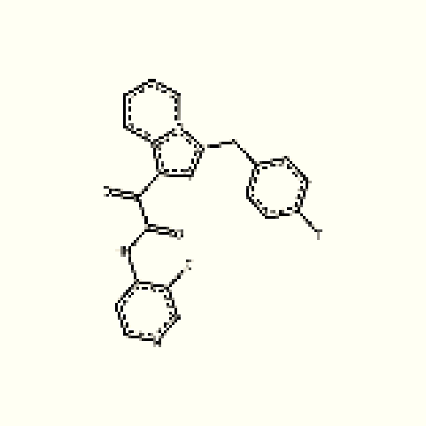 O=C(Nc1ccncc1Cl)C(=O)c1cc(Cc2ccc(F)cc2)n2ccccc12